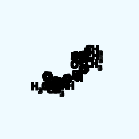 Cc1ccc(-c2ncc(-c3ccc4nc([C@@H]5CCCN5C(=O)[C@@H](c5ccccc5)N(C)C)[nH]c4c3)o2)cc1CC(=O)[C@@H]1CCCN1C(=O)CN(C)C